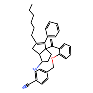 C=C(c1ccccc1OCc1ccc(C#N)cc1)C12CCC(N)C1CC(CCCCCC)=C2c1ccccc1